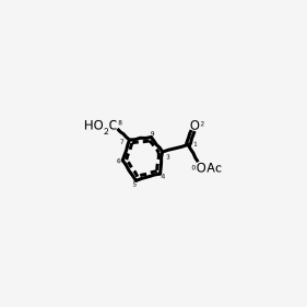 CC(=O)OC(=O)c1cccc(C(=O)O)c1